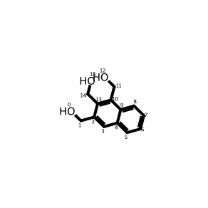 OCc1[c]c2ccccc2c(CO)c1CO